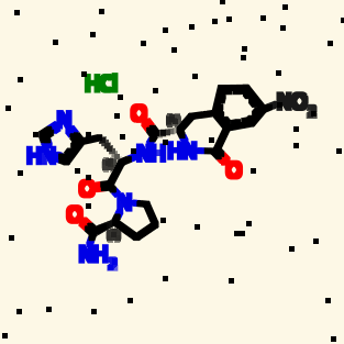 Cl.NC(=O)[C@@H]1CCCN1C(=O)[C@H](Cc1c[nH]cn1)NC(=O)[C@@H]1Cc2ccc([N+](=O)[O-])cc2C(=O)N1